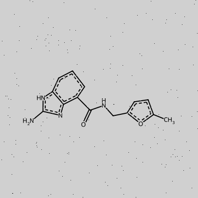 Cc1ccc(CNC(=O)c2cccc3[nH]c(N)nc23)o1